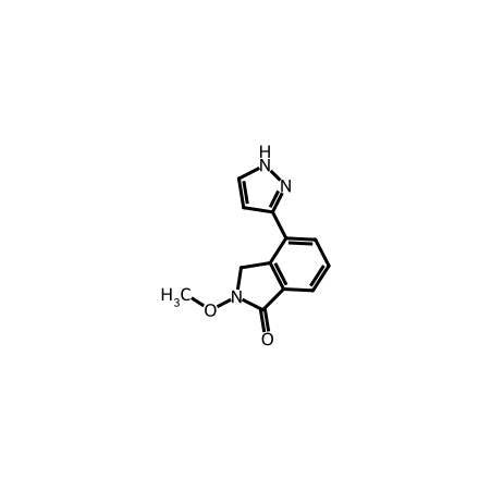 CON1Cc2c(cccc2-c2cc[nH]n2)C1=O